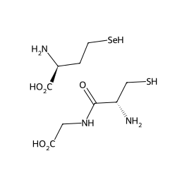 N[C@@H](CC[SeH])C(=O)O.N[C@@H](CS)C(=O)NCC(=O)O